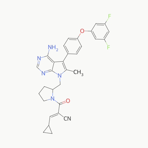 Cc1c(-c2ccc(Oc3cc(F)cc(F)c3)cc2)c2c(N)ncnc2n1CC1CCCN1C(=O)C(C#N)=CC1CC1